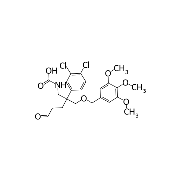 COc1cc(COCC(CCC=O)(CNC(=O)O)c2ccc(Cl)c(Cl)c2)cc(OC)c1OC